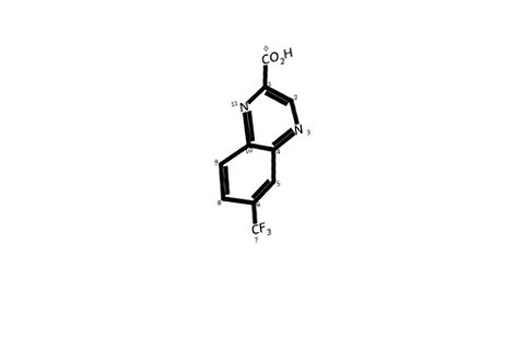 O=C(O)c1cnc2cc(C(F)(F)F)ccc2n1